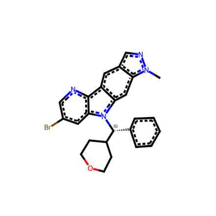 Cn1ncc2cc3c4ncc(Br)cc4n([C@H](c4ccccc4)C4CCOCC4)c3cc21